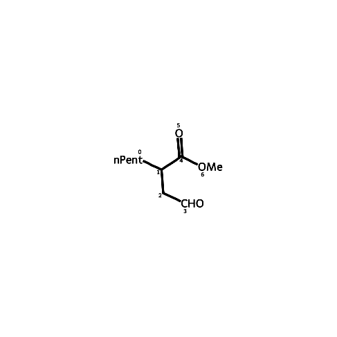 CCCCCC(CC=O)C(=O)OC